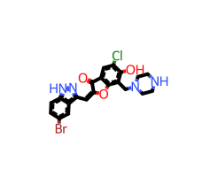 O=C1C(=Cc2n[nH]c3ccc(Br)cc23)Oc2c1cc(Cl)c(O)c2CN1CCNCC1